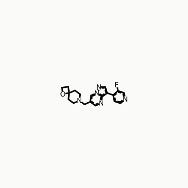 Fc1cnccc1-c1cnn2cc(CN3CCC4(CCO4)CC3)cnc12